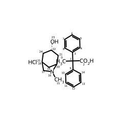 CC(C(=O)O)(c1ccccc1)c1ccccc1.CN1CC2CC1C[C@@H](O)C2.Cl